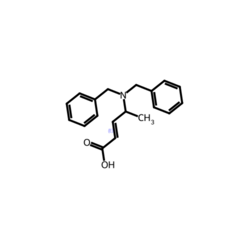 CC(/C=C/C(=O)O)N(Cc1ccccc1)Cc1ccccc1